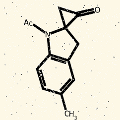 CC(=O)N1c2ccc(C)cc2CC12CC2=O